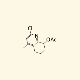 CC(=O)OC1CCCc2c(C)cc(Cl)nc21